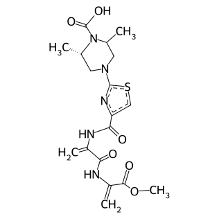 C=C(NC(=O)c1csc(N2CC(C)N(C(=O)O)[C@@H](C)C2)n1)C(=O)NC(=C)C(=O)OC